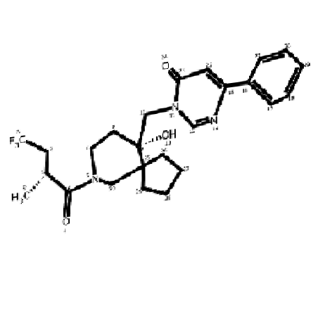 C[C@H](CC(F)(F)F)C(=O)N1CC[C@@](O)(Cn2cnc(-c3ccccc3)cc2=O)C2(CCCC2)C1